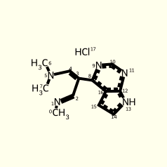 C/N=C/C(=CN(C)C)c1ncnc2[nH]ccc12.Cl